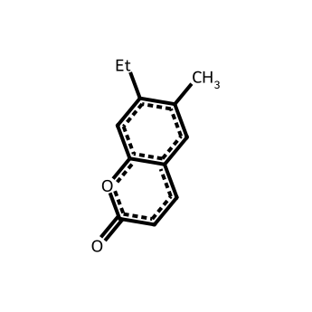 CCc1cc2oc(=O)ccc2cc1C